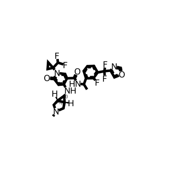 CC(NC(=O)c1cn(C2(C(F)F)CC2)c(=O)cc1N[C@@H]1[C@@H]2CN(C)C[C@@H]21)c1cccc(C(F)(F)c2cocn2)c1F